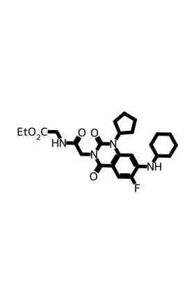 CCOC(=O)CNC(=O)Cn1c(=O)c2cc(F)c(NC3CCCCC3)cc2n(C2CCCC2)c1=O